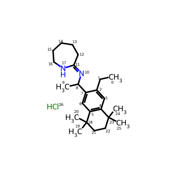 CCc1cc2c(cc1C(C)/N=C1/CCCCCN1)C(C)(C)CCC2(C)C.Cl